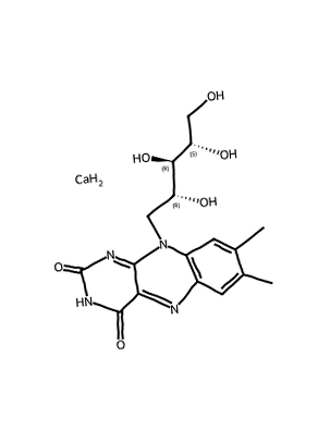 Cc1cc2nc3c(=O)[nH]c(=O)nc-3n(C[C@@H](O)[C@@H](O)[C@@H](O)CO)c2cc1C.[CaH2]